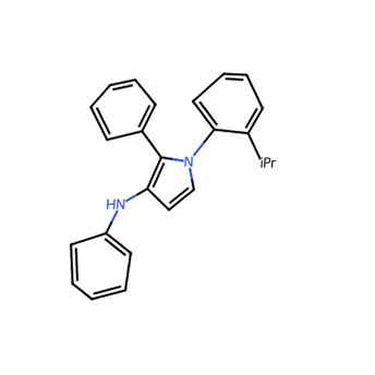 CC(C)c1ccccc1-n1ccc(Nc2ccccc2)c1-c1ccccc1